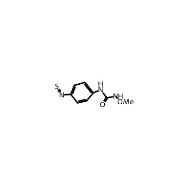 CONC(=O)Nc1ccc(N=S)cc1